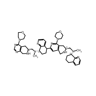 CN(C[C@@H]1Cc2c(cc(C3CC[C@H](N(C)C[C@@H]4Cc5c(ncnc5N5CCOCC5)CN4)c4ncccc43)nc2N2CCOCC2)CN1)[C@H]1CCCc2cccnc21